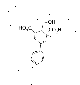 C[C@@]1(C(=O)O)C=C(c2ccccc2)C=C(C(=O)O)C1CO